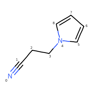 N#CCCn1cccc1